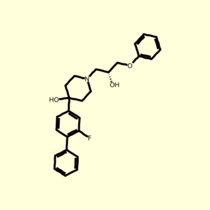 O[C@@H](COc1ccccc1)CN1CCC(O)(c2ccc(-c3ccccc3)c(F)c2)CC1